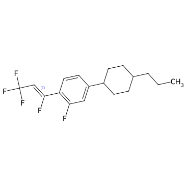 CCCC1CCC(c2ccc(/C(F)=C/C(F)(F)F)c(F)c2)CC1